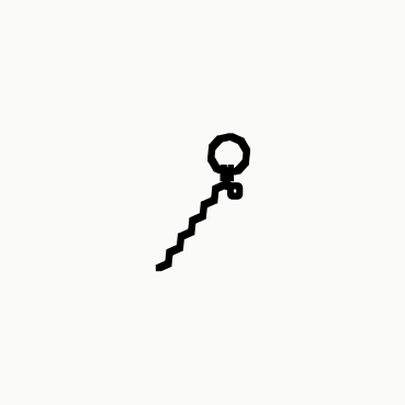 CCCCCCCCCCCC(=O)N1CCCCCCCCC1